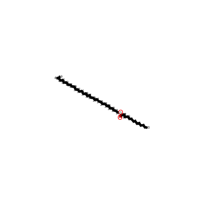 CCCCC=CCCCCCCCC(=O)OCCCCCCCCCCCCCCCCCCCCCCCCCCCCCCCC(C)C